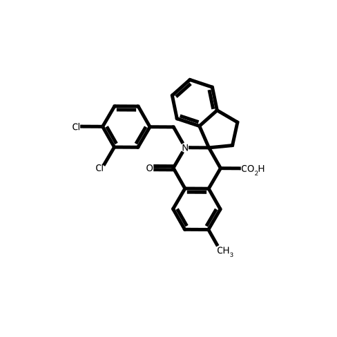 Cc1ccc2c(c1)C(C(=O)O)C1(CCc3ccccc31)N(Cc1ccc(Cl)c(Cl)c1)C2=O